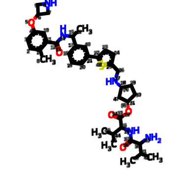 Cc1ccc(OC2CNC2)cc1C(=O)NC(C)c1cccc(-c2ccc(CN[C@H]3CC[C@@H](OC(=O)C(NC(=O)C(N)C(C)C)C(C)C)C3)s2)c1